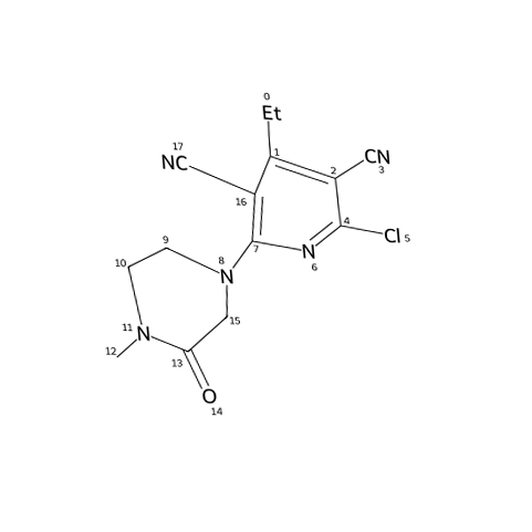 CCc1c(C#N)c(Cl)nc(N2CCN(C)C(=O)C2)c1C#N